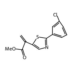 C=C(C(=O)OC)c1cnc(-c2cccc(Cl)c2)s1